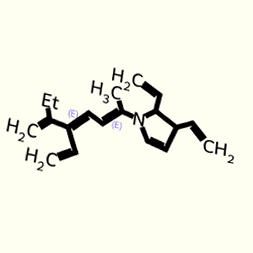 C=C/C(=C\C=C(/C)N1C=CC(C=C)C1C=C)C(=C)CC